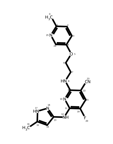 Cc1ccc(OCCNc2nc(Nc3cc(C)[nH]n3)c(F)cc2C#N)cn1